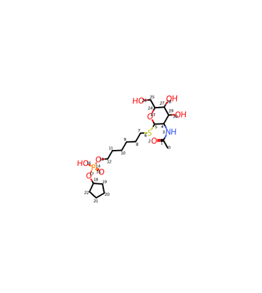 CC(=O)NC1C(SCCCCCCOP(=O)(O)OC2CCCC2)OC(CO)C(O)C1O